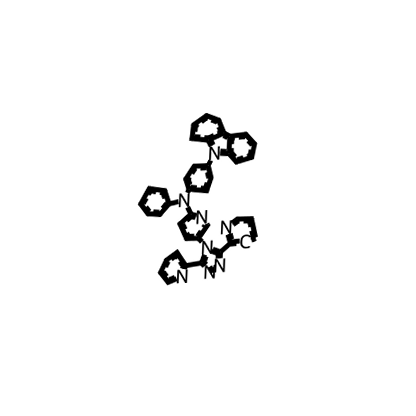 c1ccc(N(c2ccc(-n3c4ccccc4c4ccccc43)cc2)c2ccc(-n3c(-c4ccccn4)nnc3-c3ccccn3)cn2)cc1